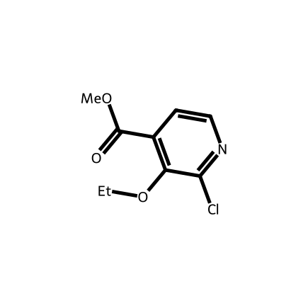 CCOc1c(C(=O)OC)ccnc1Cl